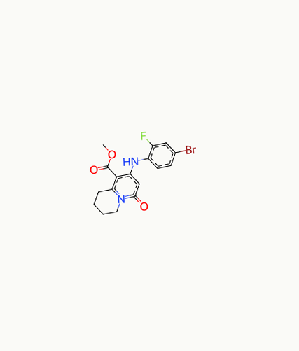 COC(=O)c1c(Nc2ccc(Br)cc2F)cc(=O)n2c1CCCC2